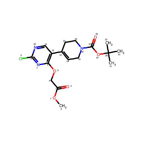 COC(=O)COc1nc(Cl)ncc1C1=CCN(C(=O)OC(C)(C)C)CC1